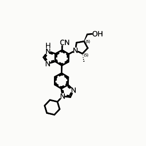 C[C@H]1C[C@H](CO)CN1c1cc(-c2ccc3c(c2)ncn3C2CCCCC2)c2nc[nH]c2c1C#N